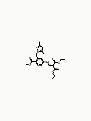 C=C(OCC)/C(=C/Nc1ccc(C(=O)OC)c(Cn2nc(C)cc2C)c1)C(=O)OCC